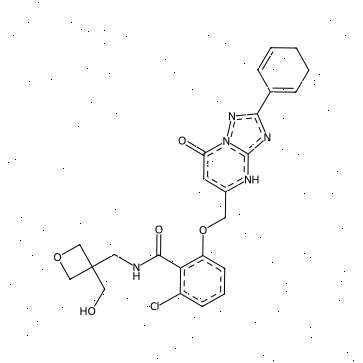 O=C(NCC1(CO)COC1)c1c(Cl)cccc1OCc1cc(=O)n2nc(C3=CCCC=C3)nc2[nH]1